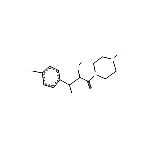 CC(c1ccc(N)cc1)C(NC(=O)O)C(=O)N1CCN(C)CC1